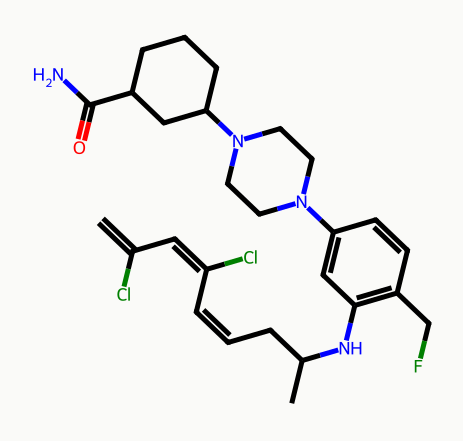 C=C(Cl)/C=C(Cl)\C=C/CC(C)Nc1cc(N2CCN(C3CCCC(C(N)=O)C3)CC2)ccc1CF